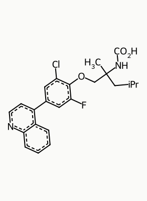 CC(C)CC(C)(COc1c(F)cc(-c2ccnc3ccccc23)cc1Cl)NC(=O)O